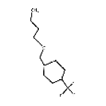 CCCCOCC1CCC(C(F)(F)F)CC1